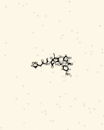 CC(NC(=O)Cn1cnnn1)[C@H]1C(=O)N2C(C(=O)O)=C(S[C@@H]3CN[C@H](C(=O)N4C[C@H](N)C[C@@H]4CO)C3)[C@H](C)[C@H]12